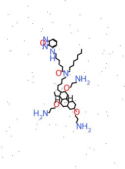 CCCCCCCCN(CCC[C@@H](C)[C@H]1CC[C@H]2C3[C@H](OCCCN)CC4C[C@H](OCCCN)CC[C@]4(C)[C@H]3C[C@H](OCCCN)[C@]12C)C(=O)CCCCCNc1cccc2nonc12